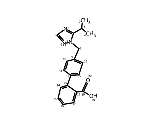 CC(C)c1ncnn1Cc1ccc(-c2ccccc2C(=O)O)cc1